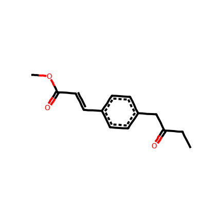 CCC(=O)Cc1ccc(/C=C/C(=O)OC)cc1